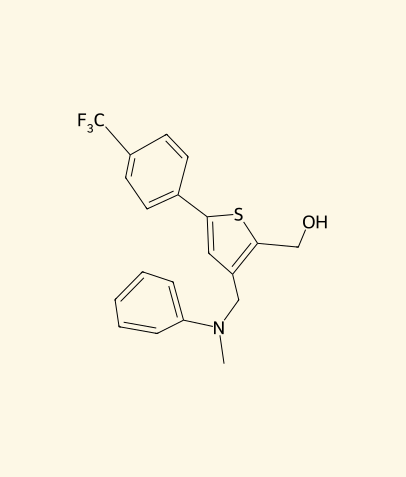 CN(Cc1cc(-c2ccc(C(F)(F)F)cc2)sc1CO)c1ccccc1